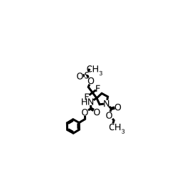 CCOC(=O)N1CCC(NC(=O)OCc2ccccc2)(C(F)(F)COS(C)=O)C1